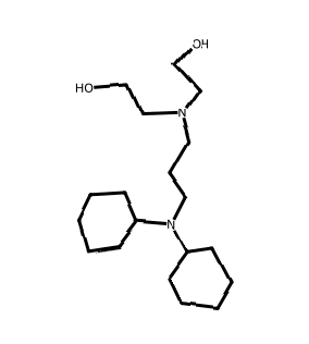 OCCN(CCO)CCCN(C1CCCCC1)C1CCCCC1